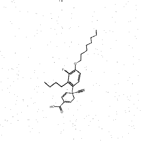 CCCCCCCCOc1ccc(C2(C#N)C=CC(C(=O)O)=CC2)c(CCCC)c1F